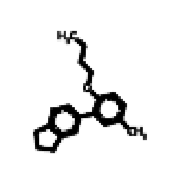 CCCCOc1ccc(C)cc1-c1ccc2c(c1)CCC2